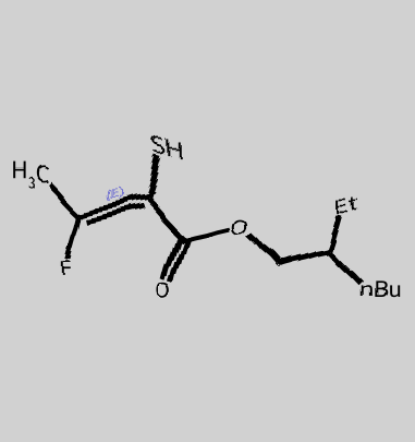 CCCCC(CC)COC(=O)/C(S)=C(/C)F